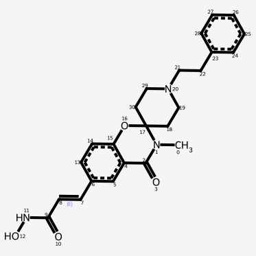 CN1C(=O)c2cc(/C=C/C(=O)NO)ccc2OC12CCN(CCc1ccccc1)CC2